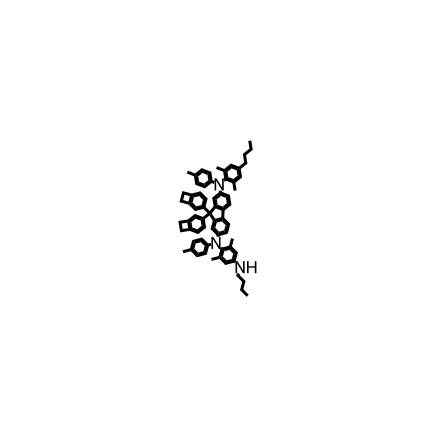 CCCCNc1cc(C)c(N(c2ccc(C)cc2)c2ccc3c(c2)C(c2ccc4c(c2)CC4)(c2ccc4c(c2)CC4)c2cc(N(c4ccc(C)cc4)c4c(C)cc(CCCC)cc4C)ccc2-3)c(C)c1